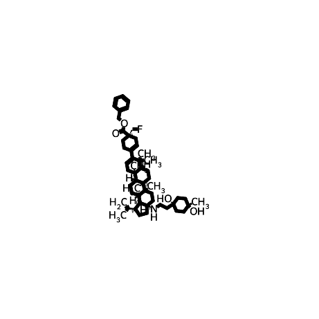 C=C(C)[C@@H]1CC[C@]2(NCC[C@]3(O)CC[C@@](C)(O)CC3)CC[C@]3(C)[C@H](CC[C@@H]4[C@@]5(C)CC=C(C6=CC[C@](CF)(C(=O)OCc7ccccc7)CC6)C(C)(C)[C@@H]5CC[C@]43C)[C@@H]12